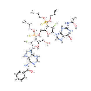 C=CCOP(=S)(OCCC#N)[C@@H]1C(COP(=S)(OCCC#N)[C@@H]2C(CO)OC(n3cnc4c(NC(=O)c5ccccc5)ncnc43)[C@@H]2F)OC(n2cnc3c(=O)[nH]c(NC(=O)C(C)C)nc32)[C@@H]1F